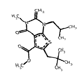 C=C1N(C)C(=O)c2c(sc(CC(C)(C)C)c2C(=O)OC)N1CC(C)C